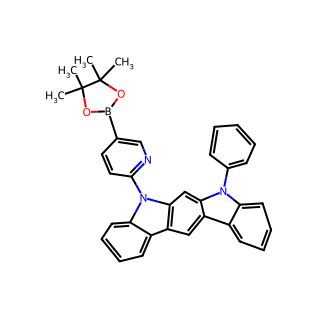 CC1(C)OB(c2ccc(-n3c4ccccc4c4cc5c6ccccc6n(-c6ccccc6)c5cc43)nc2)OC1(C)C